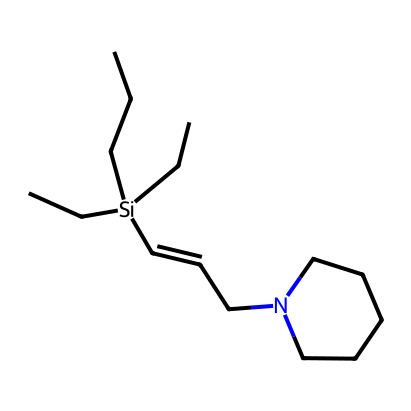 CCC[Si](C=CCN1CCCCC1)(CC)CC